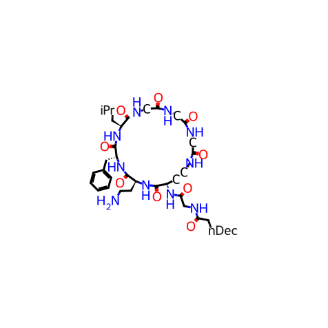 CCCCCCCCCCCC(=O)NCC(=O)N[C@H]1CCNC(=O)CNC(=O)CNC(=O)CNC(=O)[C@H](CC(C)C)NC(=O)[C@@H](Cc2ccccc2)NC(=O)[C@H](CCN)NC1=O